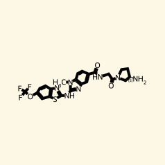 Cn1c(Nc2nc3ccc(OC(F)(F)F)cc3s2)nc2cc(C(=O)NCC(=O)N3CC[C@H](N)C3)ccc21